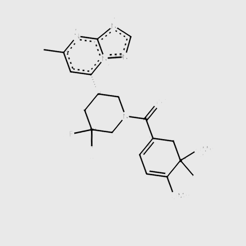 COC1=CC=C(C(=O)N2C[C@@H](c3cc(C)nc4ncnn34)CC(F)(F)C2)CC1(C)OC